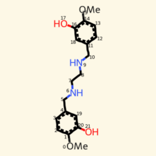 COc1ccc(CNCCNCc2ccc(OC)c(O)c2)cc1O